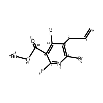 C=CCc1c(Br)nc(F)c(C(=O)OC(C)(C)C)c1F